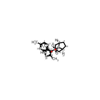 Cc1cnc(O[C@@H]2C[C@H]3CC[C@@H](C2)N3S(=O)(=O)c2c(C)n[nH]c2C)cn1